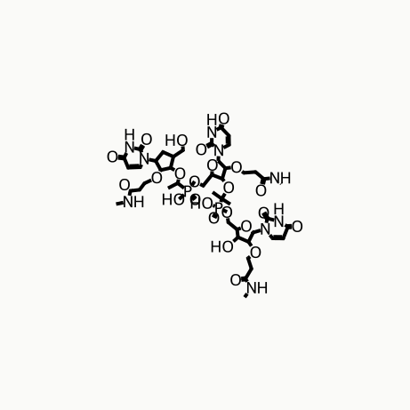 CNC(=O)CCOC1C(OC(C)P(=O)(O)OCC2OC(n3ccc(=O)[nH]c3=O)C(OCCC(=O)NC)C2OC(C)(C)P(=O)(O)OCC2OC(n3ccc(=O)[nH]c3=O)C(OCCC(=O)NC)C2O)C(CO)CC1n1ccc(=O)[nH]c1=O